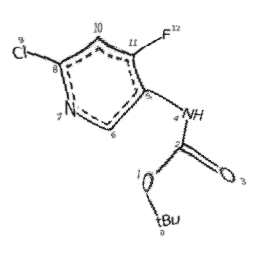 CC(C)([3CH3])OC(=O)Nc1cnc(Cl)cc1F